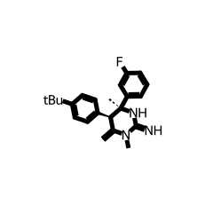 C=C1[C@@H](c2ccc(C(C)(C)C)cc2)[C@@](C)(c2cccc(F)c2)NC(=N)N1C